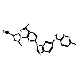 CC(=O)c1ccc(-n2cnc3ccc(Nc4ccc(C)nn4)cc32)nc1N1CC(C#N)CC1C